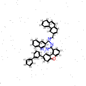 N/C(=N\C(=N/Cc1ccc2ccc3ccccc3c2c1)c1ccc2ccccc2c1)c1cccc2oc3ccc(-c4cccc(-c5ccccc5)c4)cc3c12